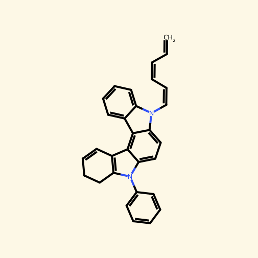 C=C/C=C\C=C/n1c2ccccc2c2c3c4c(n(-c5ccccc5)c3ccc21)CCC=C4